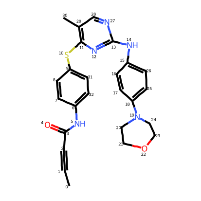 CC#CC(=O)Nc1ccc(Sc2nc(Nc3ccc(N4CCOCC4)cc3)ncc2C)cc1